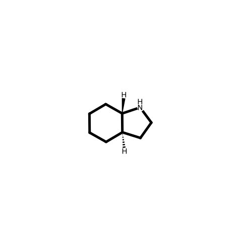 C1CC[C@@H]2NCC[C@H]2C1